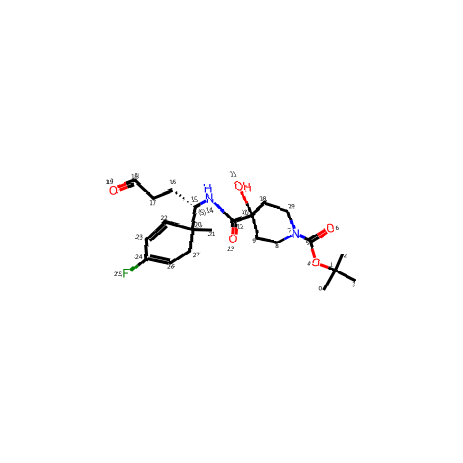 CC(C)(C)OC(=O)N1CCC(O)(C(=O)N[C@@H](CCC=O)C2(C)C=CC(F)=CC2)CC1